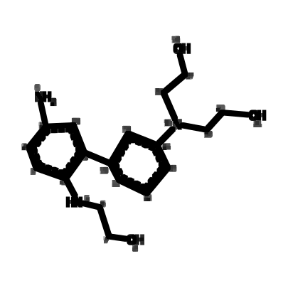 Nc1ccc(NCCO)c(-c2cccc(N(CCO)CCO)c2)c1